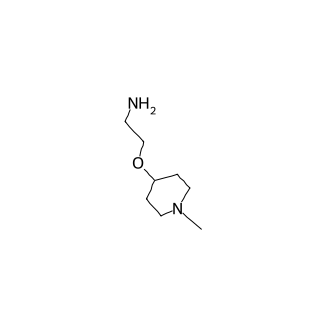 CN1CCC(OCCN)CC1